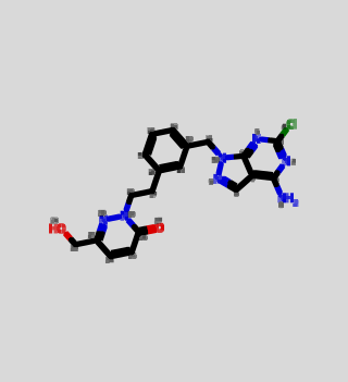 Nc1nc(Cl)nc2c1cnn2Cc1cccc(CCn2nc(CO)ccc2=O)c1